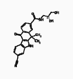 CC1(C)c2cc(C(=O)NC[C@@H](O)CO)ccc2C(=O)c2c1[nH]c1cc(C#N)ccc21